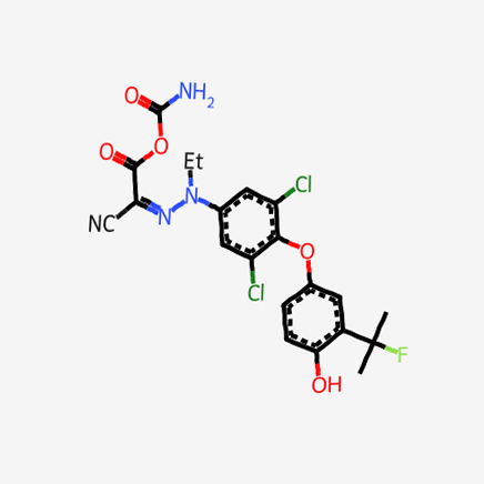 CCN(N=C(C#N)C(=O)OC(N)=O)c1cc(Cl)c(Oc2ccc(O)c(C(C)(C)F)c2)c(Cl)c1